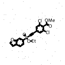 CCOP(=O)(C#Cc1cc(Cl)c(C(=O)OC)c(Cl)c1)c1ccc2ccoc2c1